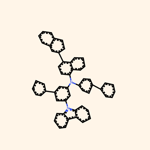 c1ccc(-c2ccc(N(c3cc(-c4ccccc4)cc(-n4c5ccccc5c5ccccc54)c3)c3ccc(-c4ccc5ccccc5c4)c4ccccc34)cc2)cc1